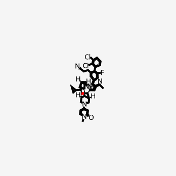 Cc1nc2c(F)c(-c3cccc(Cl)c3Cl)c(CCC#N)cc2c2c1cc([C@H]1[C@H]3C[C@H](CN(c4ccn(C)c(=O)c4)C3)N1C(=O)C1CC1)n2[C@H]1[C@H]2CN[C@@H]1C2